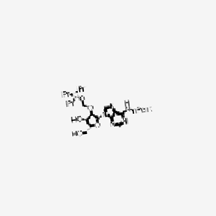 CCCCCNc1ncnc2c1ncn2[C@@H]1O[C@H](CO)C(O)C1OCO[Si](C(C)C)(C(C)C)C(C)C